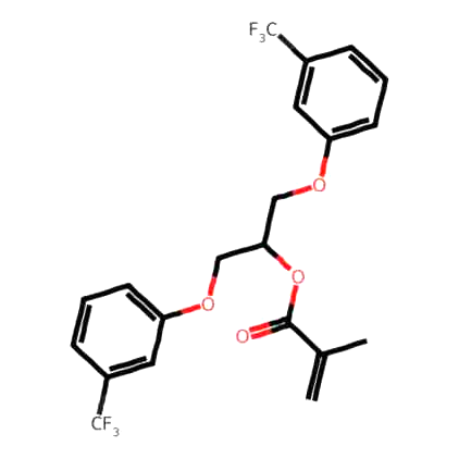 C=C(C)C(=O)OC(COc1cccc(C(F)(F)F)c1)COc1cccc(C(F)(F)F)c1